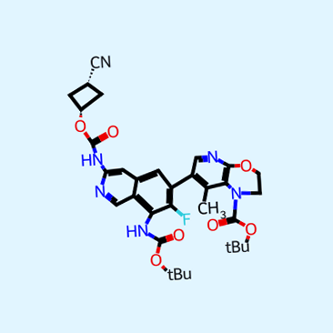 Cc1c(-c2cc3cc(NC(=O)O[C@H]4C[C@@H](C#N)C4)ncc3c(NC(=O)OC(C)(C)C)c2F)cnc2c1N(C(=O)OC(C)(C)C)CCO2